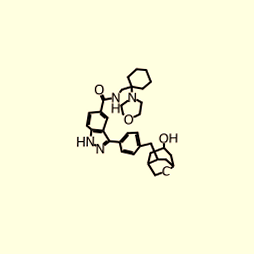 O=C(NCC1(N2CCOCC2)CCCCC1)c1ccc2[nH]nc(-c3ccc(CC4CC5CCC4CC(O)C5)cc3)c2c1